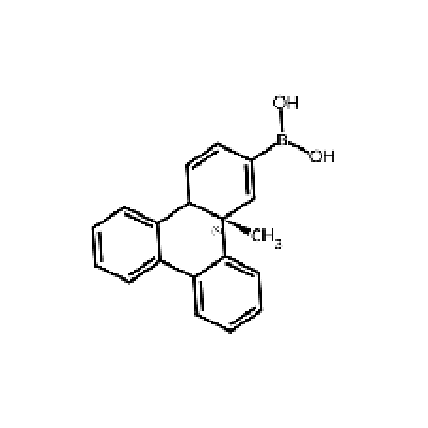 C[C@]12C=C(B(O)O)C=CC1c1ccccc1-c1ccccc12